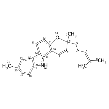 CC(C)=CCCC1(C)C=Cc2c(ccc3c2[nH]c2ccc(C)cc23)O1